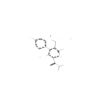 Cc1nc(C(=O)C(C)Br)c(C)c(-c2ccc(Cl)cc2)c1[C@H](OC(C)(C)C)C(=O)O